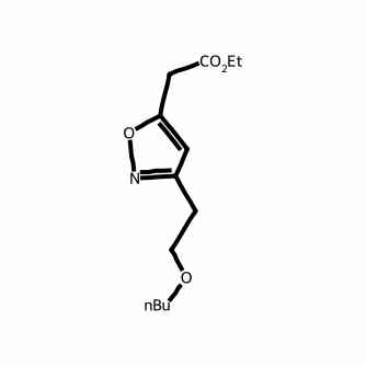 CCCCOCCc1cc(CC(=O)OCC)on1